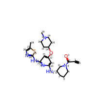 C#CC(=O)N1CCC[C@H](Nc2cc(OC3CCN(C)CC3)cc(Nc3ncc(C)s3)n2)C1